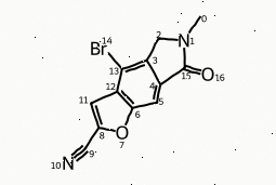 CN1Cc2c(cc3oc(C#N)cc3c2Br)C1=O